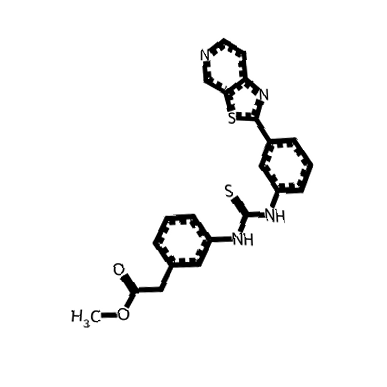 COC(=O)Cc1cccc(NC(=S)Nc2cccc(-c3nc4ccncc4s3)c2)c1